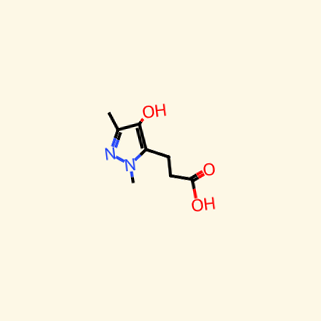 Cc1nn(C)c(CCC(=O)O)c1O